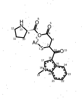 CC(=O)SC(CC(=O)OC(=O)[C@@H]1CCCN1)C(=O)c1cn(C)c2ccccc12